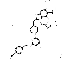 N#Cc1ccc(COc2cccc(N3CCC(=Cc4nc5ccc(C(=O)O)c(F)c5n4CC4CCO4)CC3)n2)nc1